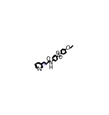 CCOc1ccc(S(=O)(=O)c2ccc(NC(=O)/C=C/c3cccnc3)cc2)cc1